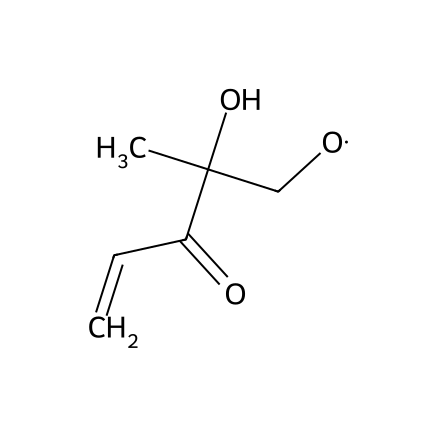 C=CC(=O)C(C)(O)C[O]